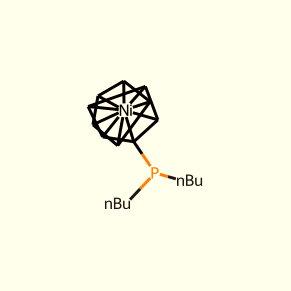 CCCCP(CCCC)[C]12[CH]3[CH]4[CH]5[CH]1[Ni]45321678[CH]2[CH]1[CH]6[CH]7[CH]28